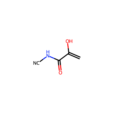 C=C(O)C(=O)NC#N